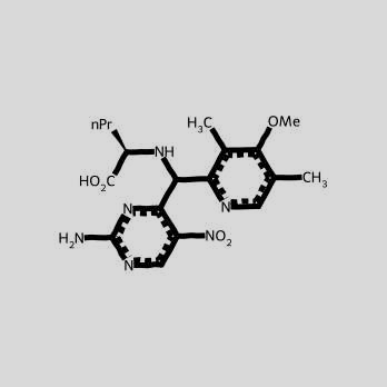 CCC[C@@H](NC(c1nc(N)ncc1[N+](=O)[O-])c1ncc(C)c(OC)c1C)C(=O)O